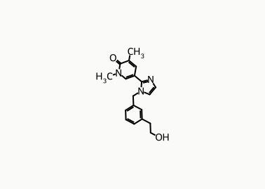 Cc1cc(-c2nccn2Cc2cccc(CCO)c2)cn(C)c1=O